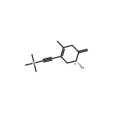 [3H][C@@H]1CC(C#C[Si](C)(C)C)=C(C)CC1=C